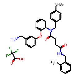 CC(=O)Nc1ccc(CN(C(=O)CCC(=O)NCc2ccccc2C(F)(F)F)c2ccccc2Oc2cccc(CN)c2)cc1.O=C(O)C(F)(F)F